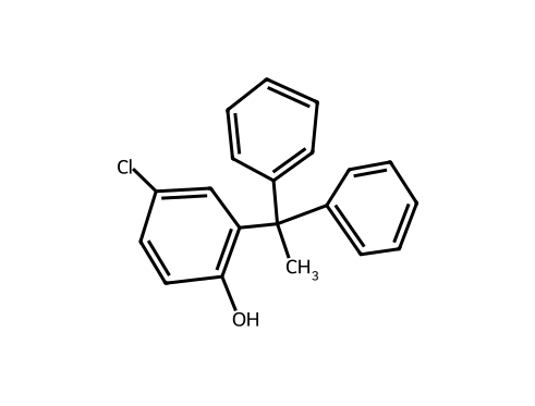 CC(c1ccccc1)(c1ccccc1)c1cc(Cl)ccc1O